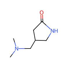 CN(C)CC1CNC(=O)C1